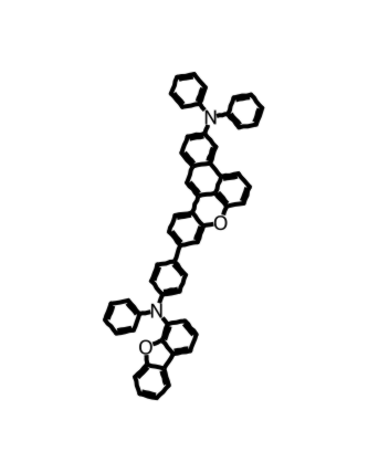 c1ccc(N(c2ccccc2)c2ccc3cc4c5c(cccc5c3c2)Oc2cc(-c3ccc(N(c5ccccc5)c5cccc6c5oc5ccccc56)cc3)ccc2-4)cc1